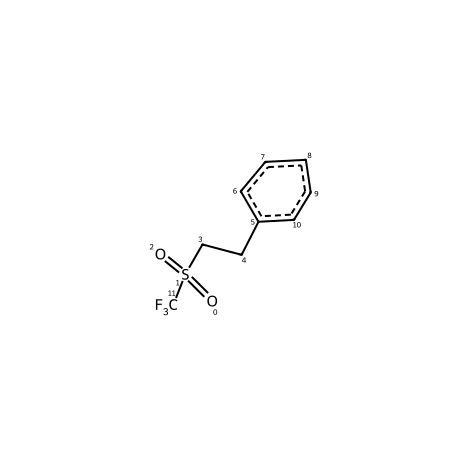 O=S(=O)(CCc1ccccc1)C(F)(F)F